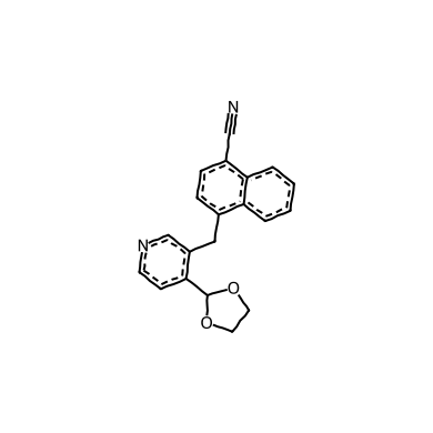 N#Cc1ccc(Cc2cnccc2C2OCCO2)c2ccccc12